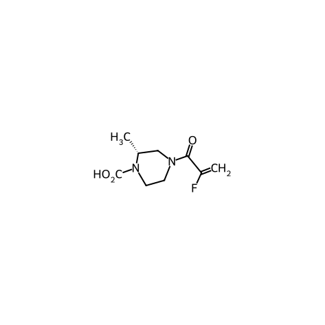 C=C(F)C(=O)N1CCN(C(=O)O)[C@H](C)C1